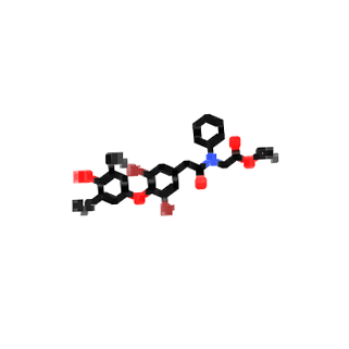 COC(=O)CN(C(=O)Cc1cc(Br)c(Oc2cc(C)c(O)c(C)c2)c(Br)c1)c1ccccc1